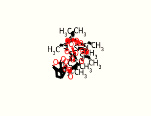 CCC(C)(C)C(=O)OC1C2CC3C1OC(=O)C3(C(=O)OC[Si]13O[Si]4(CC)O[Si]5(CC)O[Si]6(CC)O[Si](CC)(O4)O[Si](CC)(O[Si](CC)(O6)O[Si](CC)(O5)O1)O3)C2